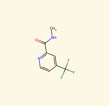 CNC(=O)c1cc(C(F)(F)F)ccn1